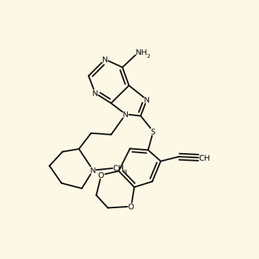 C#Cc1cc2c(cc1Sc1nc3c(N)ncnc3n1CCC1CCCCN1C)OCCO2